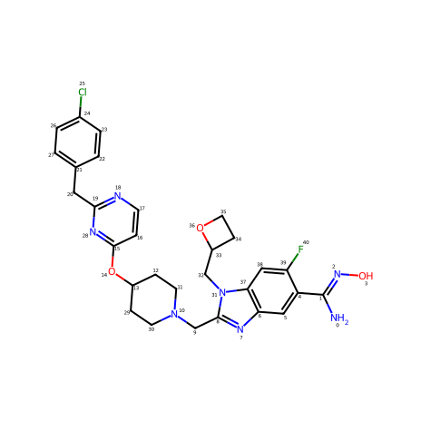 NC(=NO)c1cc2nc(CN3CCC(Oc4ccnc(Cc5ccc(Cl)cc5)n4)CC3)n(CC3CCO3)c2cc1F